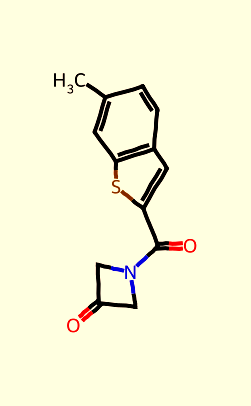 Cc1ccc2cc(C(=O)N3CC(=O)C3)sc2c1